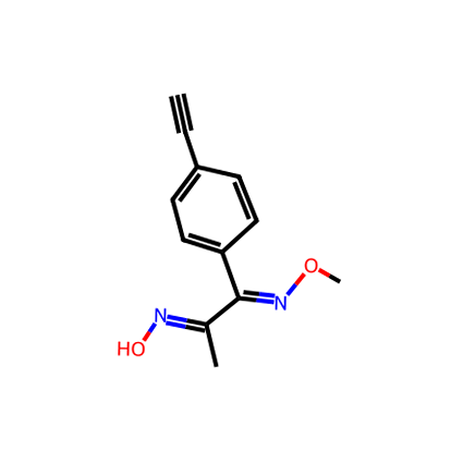 C#Cc1ccc(/C(=N\OC)C(C)=NO)cc1